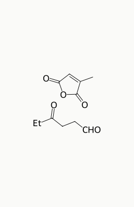 CC1=CC(=O)OC1=O.CCC(=O)CCC=O